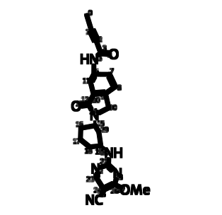 CC#CC(=O)Nc1ccc2c(c1)C(=O)N([C@H]1CCC[C@@H](Nc3ncc(C#N)c(OC)n3)C1)C2